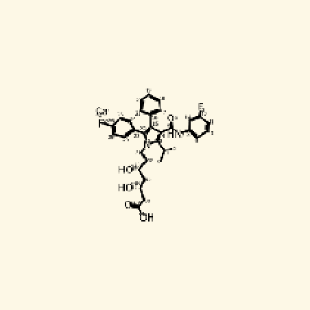 CC(C)c1c(C(=O)Nc2cccc(F)c2)c(-c2ccccc2)c(-c2ccc(F)cc2)n1CC[C@@H](O)C[C@@H](O)CC(=O)O.[Ca]